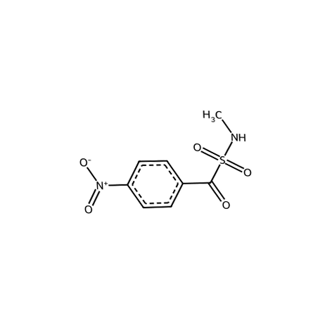 CNS(=O)(=O)C(=O)c1ccc([N+](=O)[O-])cc1